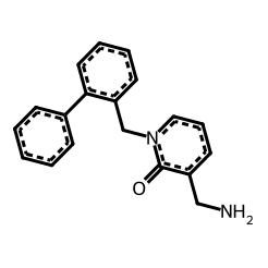 NCc1cccn(Cc2ccccc2-c2ccccc2)c1=O